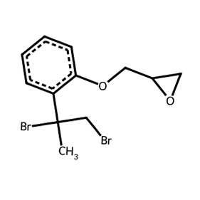 CC(Br)(CBr)c1ccccc1OCC1CO1